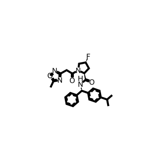 Cc1nc(CC(=O)N2C[C@H](F)C[C@H]2C(=O)N[C@@H](c2ccccc2)c2ccc(C(C)C)cc2)no1